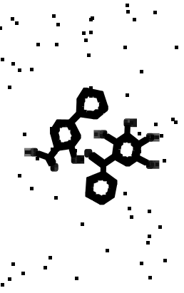 O=C(O)c1ccc(-c2ccccc2)cc1O.O=C(c1ccccc1)c1cc(O)c(O)c(O)c1O